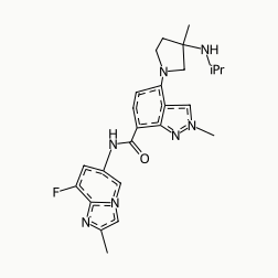 Cc1cn2cc(NC(=O)c3ccc(N4CCC(C)(NC(C)C)C4)c4cn(C)nc34)cc(F)c2n1